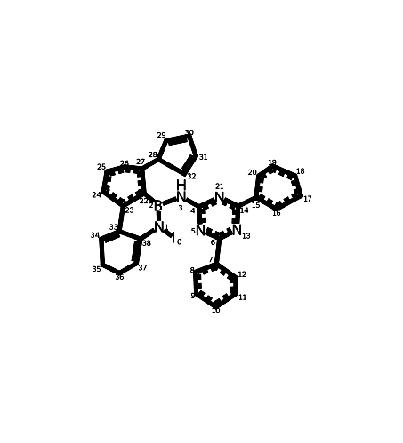 IN1B(Nc2nc(-c3ccccc3)nc(-c3ccccc3)n2)c2c(cccc2C2C=CC=C2)C2=CCCC=C21